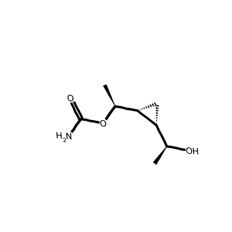 C[C@H](O)[C@H]1C[C@H]1[C@H](C)OC(N)=O